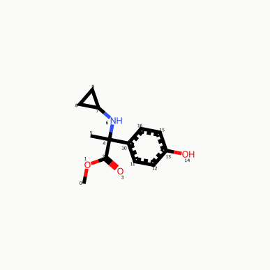 COC(=O)C(C)(NC1CC1)c1ccc(O)cc1